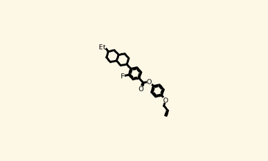 C=CCOc1ccc(OC(=O)c2ccc(C3CCC4CC(CC)CCC4C3)c(F)c2)cc1